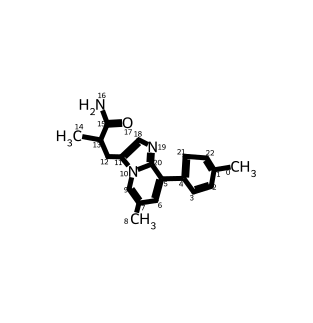 Cc1ccc(-c2cc(C)cn3c(CC(C)C(N)=O)cnc23)cc1